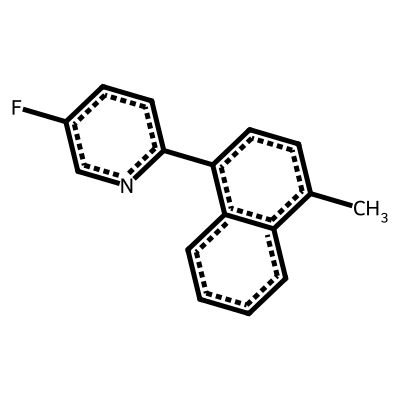 Cc1ccc(-c2ccc(F)cn2)c2ccccc12